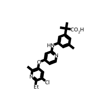 CCc1nc(C)c(Oc2ccnc(Nc3cc(C)cc(C(C)(C)C(=O)O)c3)c2)cc1Cl